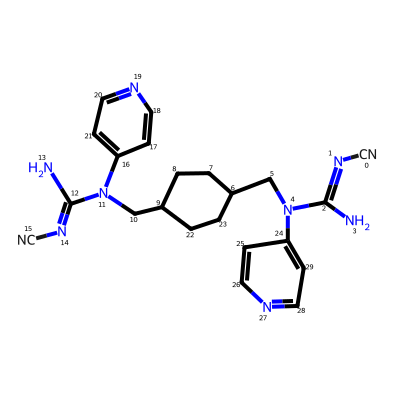 N#CN=C(N)N(CC1CCC(CN(C(N)=NC#N)c2ccncc2)CC1)c1ccncc1